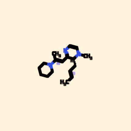 C/C=C/C[C@@H]1C(/C=C(\C)N2CCCCC2)=NC=CN1C